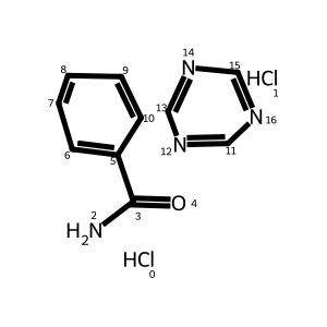 Cl.Cl.NC(=O)c1ccccc1.c1ncncn1